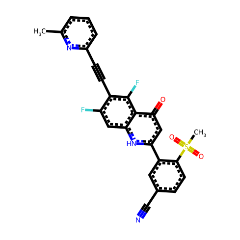 Cc1cccc(C#Cc2c(F)cc3[nH]c(-c4cc(C#N)ccc4S(C)(=O)=O)cc(=O)c3c2F)n1